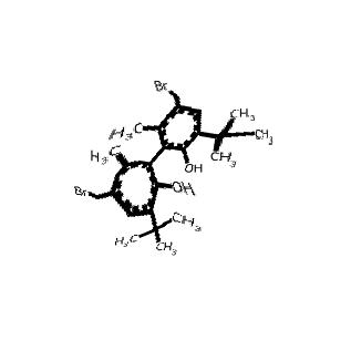 Cc1c(Br)cc(C(C)(C)C)c(O)c1-c1c(C)c(Br)cc(C(C)(C)C)c1O